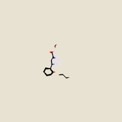 CCCCOc1ccccc1C1CC(C(=O)OCC)=NN1